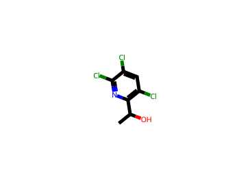 CC(O)c1nc(Cl)c(Cl)cc1Cl